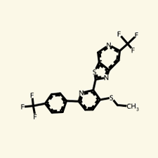 CCSc1ccc(-c2ccc(C(F)(F)F)cc2)nc1-c1nc2cc(C(F)(F)F)ncc2s1